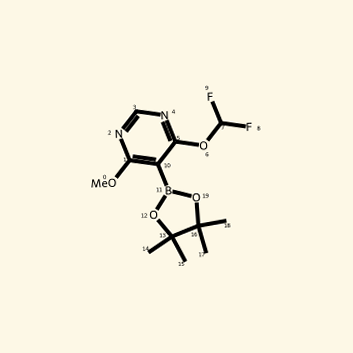 COc1ncnc(OC(F)F)c1B1OC(C)(C)C(C)(C)O1